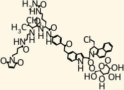 CC(C)[C@H](NCCNC(=O)CCCN1C(=O)C=CC1=O)C(=O)N[C@@H](CCCNC(N)=O)C(=O)Nc1ccc(C(=O)Cc2ccc3[nH]c(C(=O)N4C[C@@H](CCl)c5c4cc(O[C@H]4O[C@H](C(=O)O)[C@@H](O)[C@H](O)[C@H]4O)c4ccccc54)cc3c2)cc1